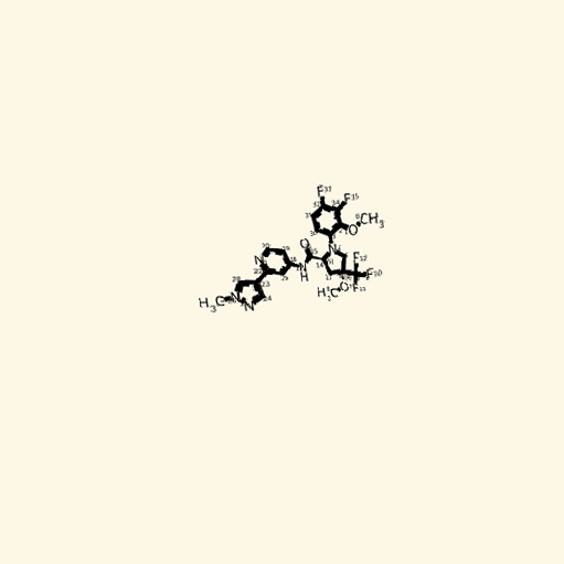 COc1c(N2C[C@@](OC)(C(F)(F)F)C[C@H]2C(=O)Nc2ccnc(-c3cnn(C)c3)c2)ccc(F)c1F